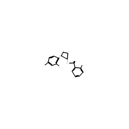 O=C(N[C@@H]1CC[C@@H]1c1ccc(Cl)cc1Cl)c1ccccc1C(F)(F)F